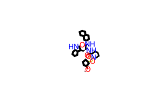 COc1cccc(S(=O)(=O)N2CCCCC2C(=O)N[C@@H](Cc2c[nH]c3ccccc23)C(=O)Nc2ccc3ccccc3c2)c1